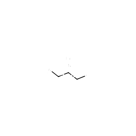 Br.CCCCCCN.[Ni]